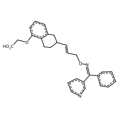 O=C(O)COc1cccc2c1CCC(C=CCON=C(c1ccccc1)c1cccnc1)C2